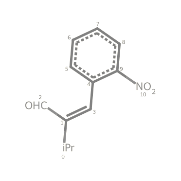 CC(C)C(C=O)=Cc1ccccc1[N+](=O)[O-]